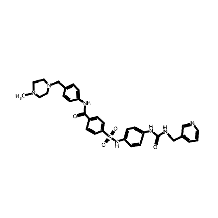 CN1CCN(Cc2ccc(NC(=O)c3ccc(S(=O)(=O)Nc4ccc(NC(=O)NCc5cccnc5)cc4)cc3)cc2)CC1